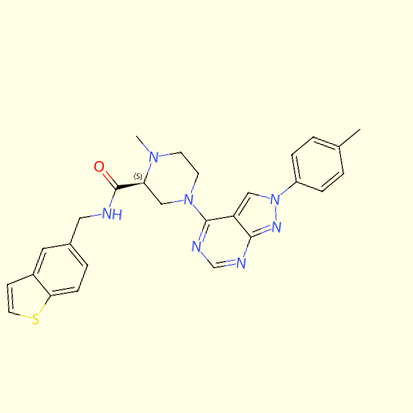 Cc1ccc(-n2cc3c(N4CCN(C)[C@H](C(=O)NCc5ccc6sccc6c5)C4)ncnc3n2)cc1